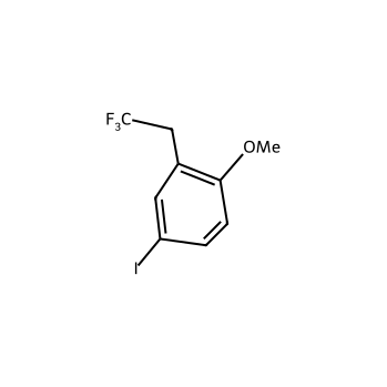 COc1ccc(I)cc1CC(F)(F)F